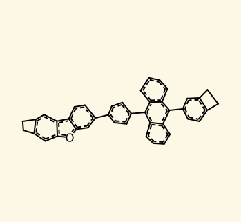 c1ccc2c(-c3ccc4c(c3)CC4)c3ccccc3c(-c3ccc(-c4ccc5c(c4)oc4cc6c(cc45)CC6)cc3)c2c1